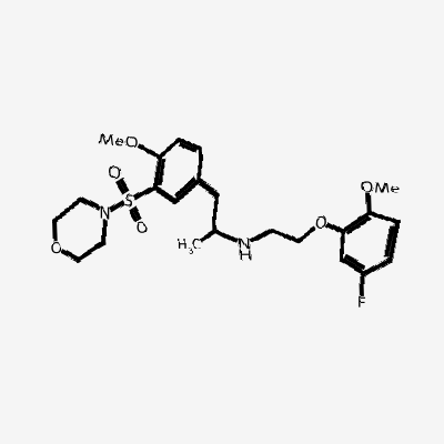 COc1ccc(F)cc1OCCNC(C)Cc1ccc(OC)c(S(=O)(=O)N2CCOCC2)c1